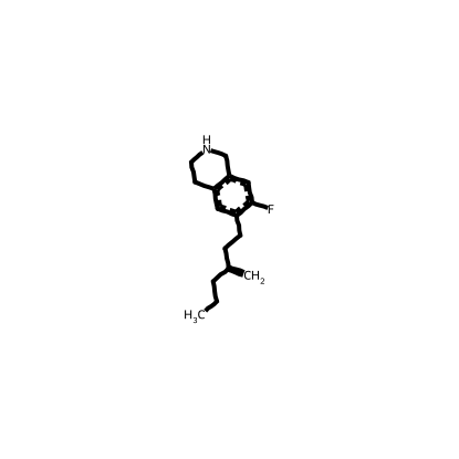 C=C(CCC)CCc1cc2c(cc1F)CNCC2